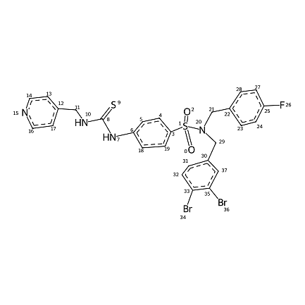 O=S(=O)(c1ccc(NC(=S)NCc2ccncc2)cc1)N(Cc1ccc(F)cc1)Cc1ccc(Br)c(Br)c1